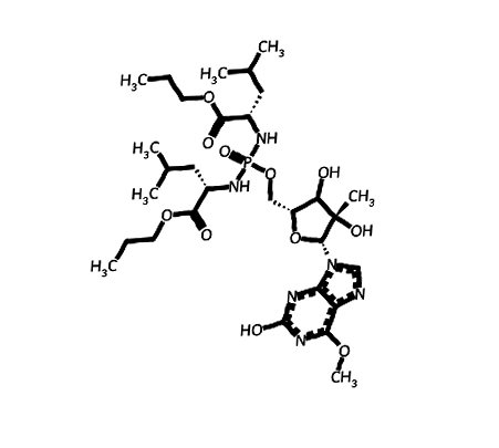 CCCOC(=O)[C@H](CC(C)C)NP(=O)(N[C@@H](CC(C)C)C(=O)OCCC)OC[C@H]1O[C@@H](n2cnc3c(OC)nc(O)nc32)[C@@](C)(O)C1O